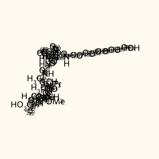 CC[C@H](C)[C@@H]([C@@H](CC(=O)N1CCC[C@H]1[C@H](OC)[C@@H](C)C(=O)N[C@@H](Cc1ccccc1)C(=O)O)OC)N(C)C(=O)CNC(=O)C(C(C)C)N(C)C(=O)C(C)COC(C)CCNC(=O)CCCNC(=O)C(NC(=O)CN1C(=O)C=CC1=O)C(NC(=O)CN1C(=O)C=CC1=O)C(=O)NCCCC(=O)NCCOCCOCCOCCOCCOCCOCCOCCOCCOCCO